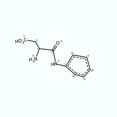 NC(CC(=O)O)C(=O)Nc1ccccc1